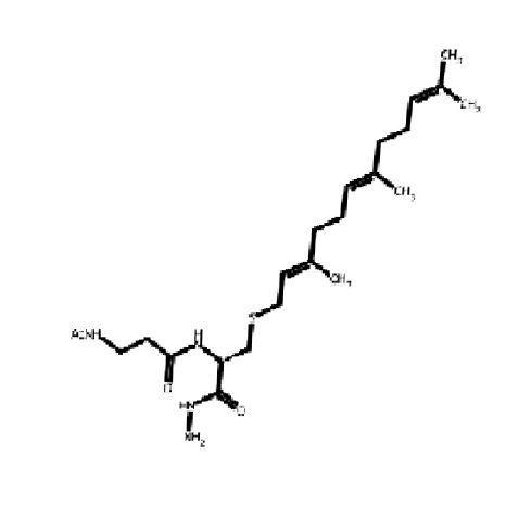 CC(=O)NCCC(=O)N[C@@H](CSC/C=C(\C)CC/C=C(\C)CCC=C(C)C)C(=O)NN